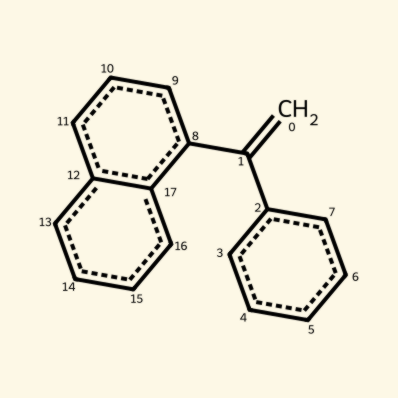 C=C(c1ccccc1)c1cccc2ccccc12